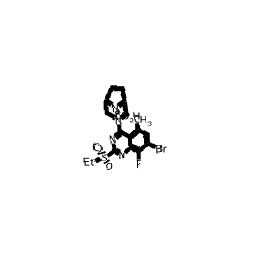 CCS(=O)(=O)c1nc(N2CC3CCC(C2)N3C(=O)O)c2c(C)cc(Br)c(F)c2n1